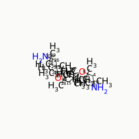 CC(C)(N)CC(C)(C)OC(C)(C)C(C)(C)CC(C)(C)OC(C)(C)C(C)(C)CC(C)(C)N